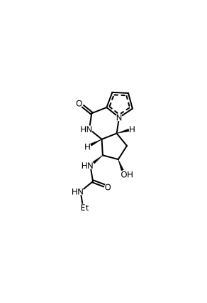 CCNC(=O)N[C@H]1[C@@H]2NC(=O)c3cccn3[C@@H]2C[C@H]1O